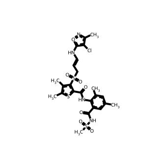 Cc1cc(C)c(NC(=O)c2sc(C)c(C)c2S(=O)(=O)CC=CNc2onc(C)c2Cl)c(C(=O)NS(C)(=O)=O)c1